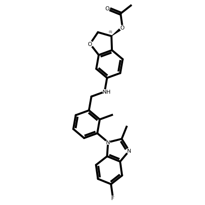 CC(=O)O[C@@H]1COc2cc(NCc3cccc(-n4c(C)nc5cc(F)ccc54)c3C)ccc21